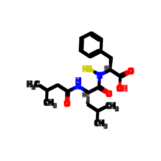 CC(C)CC(=O)N[C@@H](CC(C)C)C(=O)N(S)[C@@H](Cc1ccccc1)C(=O)O